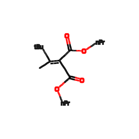 CCCOC(=O)C(C(=O)OCCC)=C(C)C(C)(C)C